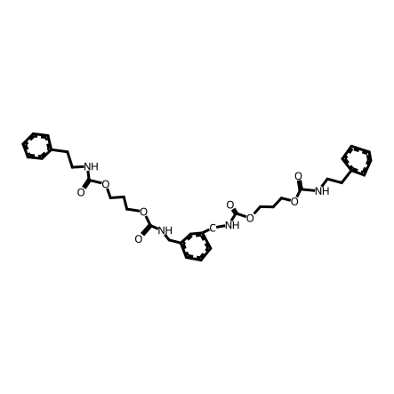 O=C(NCCc1ccccc1)OCCCOC(=O)NCc1cccc(CNC(=O)OCCCOC(=O)NCCc2ccccc2)c1